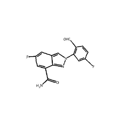 NC(=O)c1cc(F)cc2cn(-c3cc(F)ccc3C=O)nc12